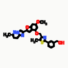 COc1cc(OCc2nc(-c3cccc(CO)c3)sc2C)c2cc(-c3cn4nc(C)ccc4n3)oc2c1